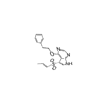 CC=CS(=O)(=O)c1c[nH]c2ncnc(OCCc3ccccc3)c12